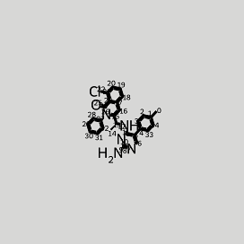 Cc1ccc(-c2cnc(N)nc2N[C@@H](C)c2cc3cccc(Cl)c3c(=O)n2-c2ccccc2)cc1